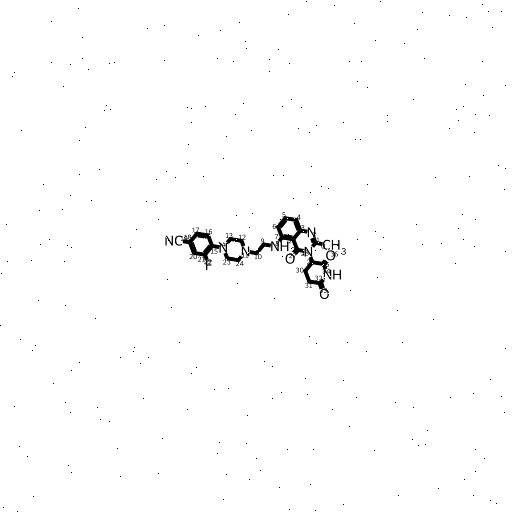 Cc1nc2cccc(NCCN3CCN(c4ccc(C#N)cc4F)CC3)c2c(=O)n1C1CCC(=O)NC1=O